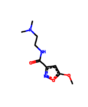 COc1cc(C(=O)NCCN(C)C)no1